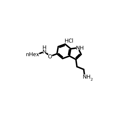 CCCCCCNOc1ccc2[nH]cc(CCN)c2c1.Cl